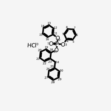 Cl.O=P(Oc1ccccc1)(Oc1ccccc1)Oc1ccccc1Cc1ccccc1